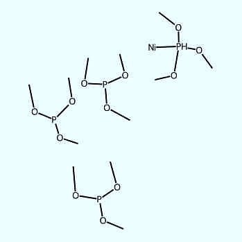 COP(OC)OC.COP(OC)OC.COP(OC)OC.CO[PH]([Ni])(OC)OC